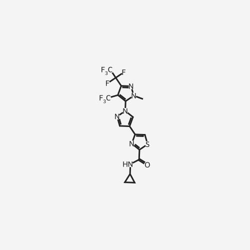 Cn1nc(C(F)(F)C(F)(F)F)c(C(F)(F)F)c1-n1cc(-c2csc(C(=O)NC3CC3)n2)cn1